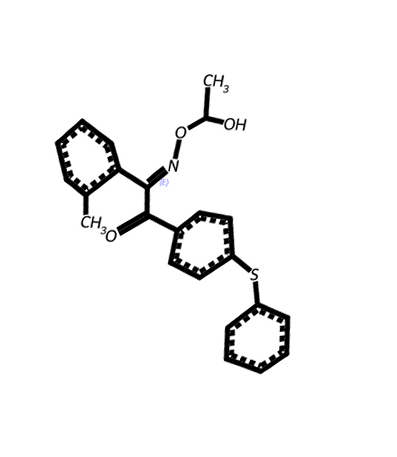 Cc1ccccc1/C(=N\OC(C)O)C(=O)c1ccc(Sc2ccccc2)cc1